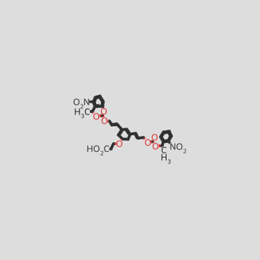 CC(OC(=O)OC/C=C/C1=CC(OCCC(=O)O)CC(/C=C/COC(=O)OC(C)c2ccccc2[N+](=O)[O-])=C1)c1ccccc1[N+](=O)[O-]